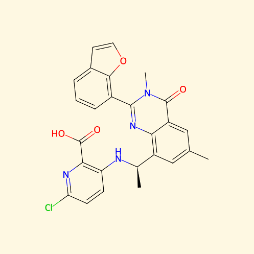 Cc1cc([C@@H](C)Nc2ccc(Cl)nc2C(=O)O)c2nc(-c3cccc4ccoc34)n(C)c(=O)c2c1